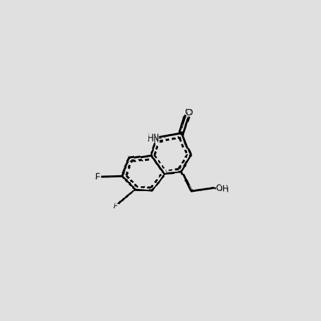 O=c1cc(CO)c2cc(F)c(F)cc2[nH]1